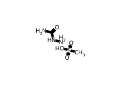 CS(=O)(=O)O.NNC(N)=O